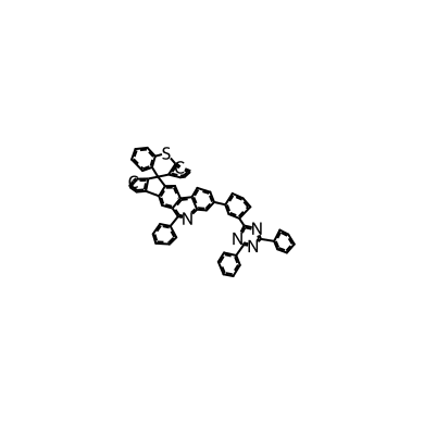 c1ccc(-c2nc(-c3ccccc3)nc(-c3cccc(-c4ccc5c(c4)nc(-c4ccccc4)c4cc6c(cc45)C4(c5ccccc5Sc5ccccc54)c4ccccc4-6)c3)n2)cc1